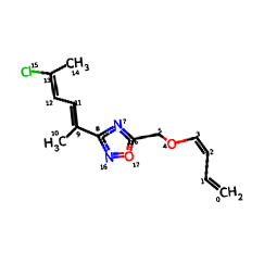 C=C/C=C\OCc1nc(/C(C)=C/C=C(\C)Cl)no1